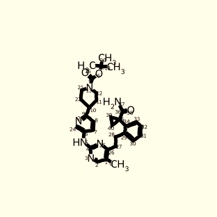 Cc1cnc(Nc2ccc(C3CCN(C(=O)OC(C)(C)C)CC3)nc2)nc1CCc1ccccc1C1(C(N)=O)CC1